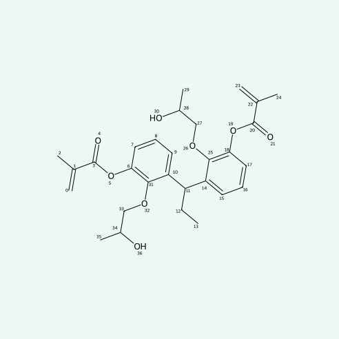 C=C(C)C(=O)Oc1cccc(C(CC)c2cccc(OC(=O)C(=C)C)c2OCC(C)O)c1OCC(C)O